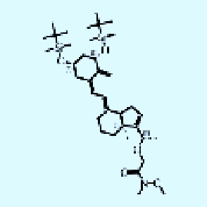 C=C1C(=CC=C2CCC[C@]3(C)C([C@H](C)OCC(=O)N(C)OC)=CCC23)C[C@@H](O[Si](C)(C)C(C)(C)C)C[C@@H]1O[Si](C)(C)C(C)(C)C